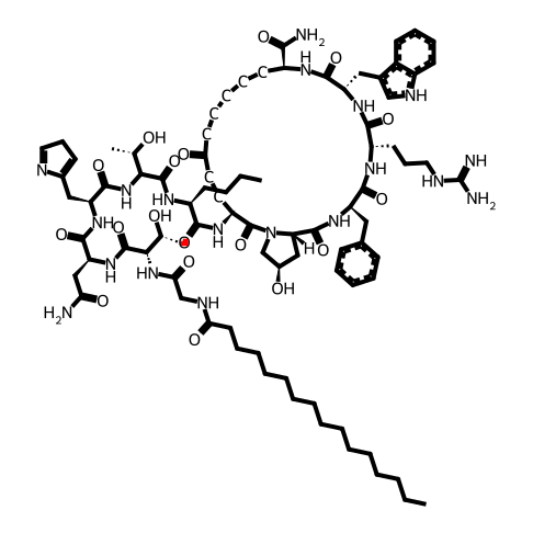 CCCCCCCCCCCCCCCC(=O)NCC(=O)N[C@H](C(=O)N[C@@H](CC(N)=O)C(=O)N[C@@H](CC1=CCC=N1)C(=O)NC(C(=O)N[C@@H](CCCC)C(=O)N[C@H]1CCC(=O)CCCCC[C@@H](C(N)=O)NC(=O)[C@H](Cc2c[nH]c3ccccc23)NC(=O)[C@H](CCCNC(=N)N)NC(=O)[C@@H](Cc2ccccc2)NC(=O)[C@@H]2C[C@@H](O)CN2C1=O)[C@H](C)O)[C@@H](C)O